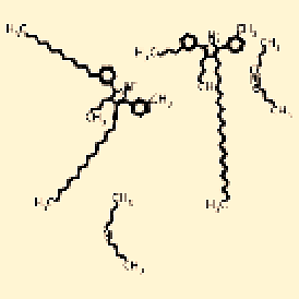 CCCCCCCCCCCCCCC#CC1=C(c2cccc(C)c2)[N+](=[N-])C(c2cccc(CCCCCCCCCCCC)c2)=C1CCCC.CCCCCCCCCCCCCCCCCCCCC1=C(c2cccc(C)c2)[N+](=[N-])C(c2cccc(CCCC)c2)=C1CCCC.CCCC[CH2][Ni][CH2]CCCC.CCCC[O][Ni][O]CCCC